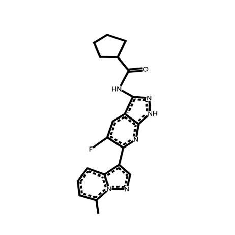 Cc1cccc2c(-c3nc4[nH]nc(NC(=O)C5CCCC5)c4cc3F)cnn12